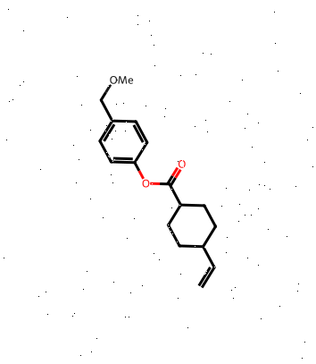 C=CC1CCC(C(=O)Oc2ccc(COC)cc2)CC1